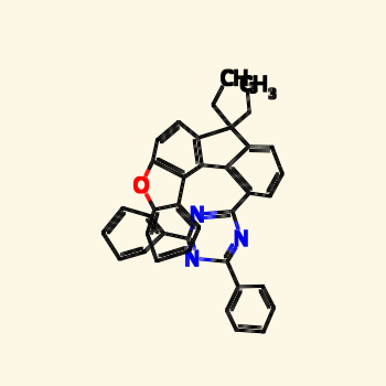 CCC1(CC)c2cccc(-c3nc(-c4ccccc4)nc(-c4ccccc4)n3)c2-c2c1ccc1oc3ccccc3c21